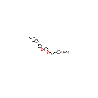 COc1ccc(-c2ccc(Oc3cccc(Oc4ccc(-c5ccc(OC(C)=O)c(C)c5)cc4)c3)cc2)cc1C